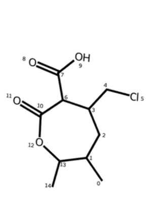 CC1CC(CCl)C(C(=O)O)C(=O)OC1C